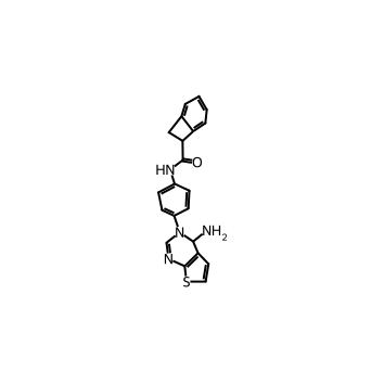 NC1c2ccsc2N=CN1c1ccc(NC(=O)C2Cc3ccccc32)cc1